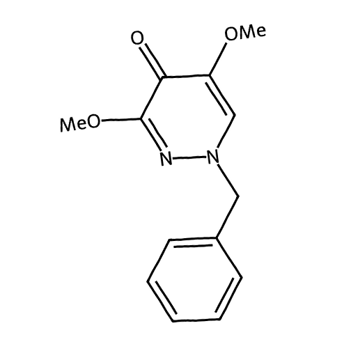 COc1cn(Cc2ccccc2)nc(OC)c1=O